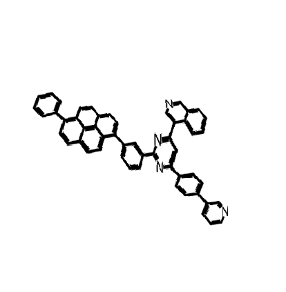 c1ccc(-c2ccc3ccc4c(-c5cccc(-c6nc(-c7ccc(-c8cccnc8)cc7)cc(-c7cncc8ccccc78)n6)c5)ccc5ccc2c3c54)cc1